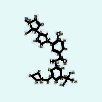 Cc1c(-c2cn(-c3cc(C(=O)Nc4cc(CN5CCC5)cc(C(F)(F)F)c4)ccc3Cl)nn2)cnn1C